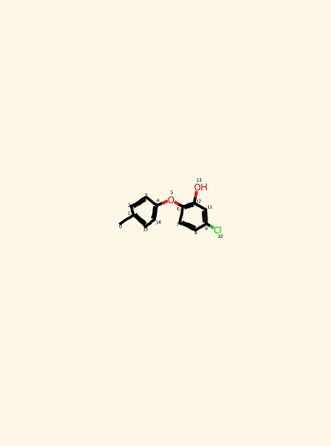 Cc1ccc(Oc2ccc(Cl)cc2O)cc1